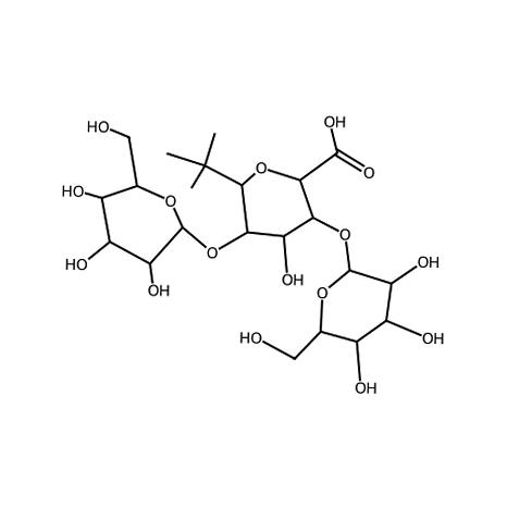 CC(C)(C)C1OC(C(=O)O)C(OC2OC(CO)C(O)C(O)C2O)C(O)C1OC1OC(CO)C(O)C(O)C1O